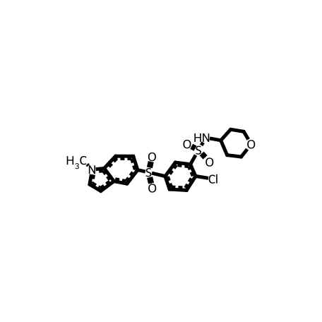 Cn1ccc2cc(S(=O)(=O)c3ccc(Cl)c(S(=O)(=O)NC4CCOCC4)c3)ccc21